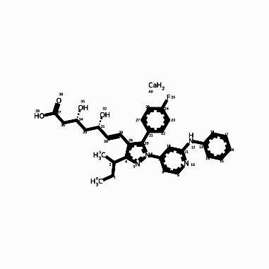 CCC(C)c1nn(-c2ccnc(Nc3ccccc3)c2)c(-c2ccc(F)cc2)c1C=C[C@@H](O)C[C@@H](O)CC(=O)O.[CaH2]